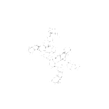 C[Si](C)(C)c1ccc(N(c2ccc3c(c2)oc2ncccc23)c2cc3c(c4c2oc2ccccc24)-c2ccc(N(c4ccc(S(C)(C)C)cc4)c4ccc5c(c4)oc4ncccc45)cc2C32c3ccccc3-c3ccccc32)cc1